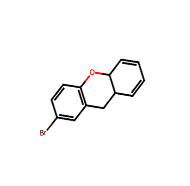 Brc1ccc2c(c1)CC1C=CC=CC1O2